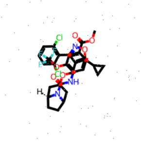 COC(=O)c1ccc(NC(=O)N2C3CC[C@H]2CC(OCc2c(-c4c(Cl)cccc4Cl)noc2C2CC2)C3)c(OC(F)(F)F)c1